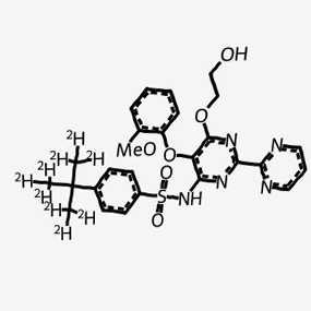 [2H]C([2H])([2H])C(c1ccc(S(=O)(=O)Nc2nc(-c3ncccn3)nc(OCCO)c2Oc2ccccc2OC)cc1)(C([2H])([2H])[2H])C([2H])([2H])[2H]